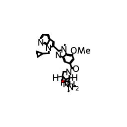 COc1cc(C(=O)N2C[C@H]3C[C@H](N(C)C)[C@@H]2[C@@H]3N)cc2nc(-c3cc4cccnc4n3CC3CC3)n(C)c12